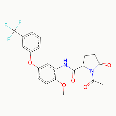 COc1ccc(Oc2cccc(C(F)(F)F)c2)cc1NC(=O)C1CCC(=O)N1C(C)=O